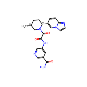 C[C@H]1CC[C@H](c2ccc3nccn3c2)N(C(=O)C(=O)Nc2cncc(C(N)=O)c2)C1